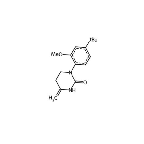 C=C1CCN(c2ccc(C(C)(C)C)cc2OC)C(=O)N1